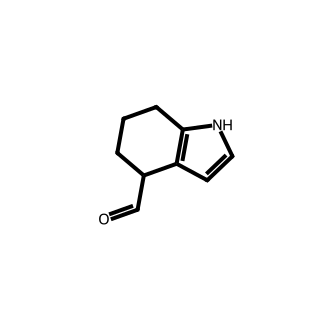 O=CC1CCCc2[nH]ccc21